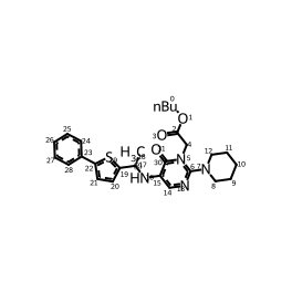 CCCCOC(=O)Cn1c(N2CCCCC2)ncc(N[C@H](C)c2ccc(-c3ccccc3)s2)c1=O